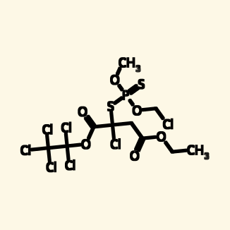 CCOC(=O)CC(Cl)(SP(=S)(OC)OCCl)C(=O)OC(Cl)(Cl)C(Cl)(Cl)Cl